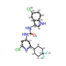 O=C(Nc1cc(Cl)nc(C2CCC(F)(F)CC2)c1)Nc1c[nH]c2ccc(Cl)cc12